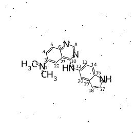 CN(C)c1ccc2ncnc(Nc3ccc4[nH]ccc4c3)c2c1